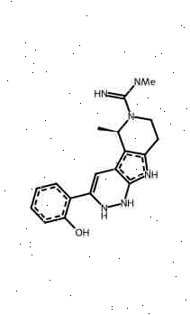 CNC(=N)N1CCc2[nH]c3c(c2[C@H]1C)C=C(c1ccccc1O)NN3